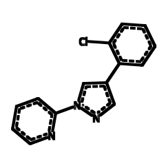 Clc1ccccc1-c1cnn(-c2ccccn2)c1